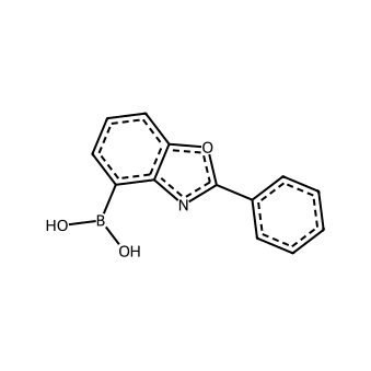 OB(O)c1cccc2oc(-c3ccccc3)nc12